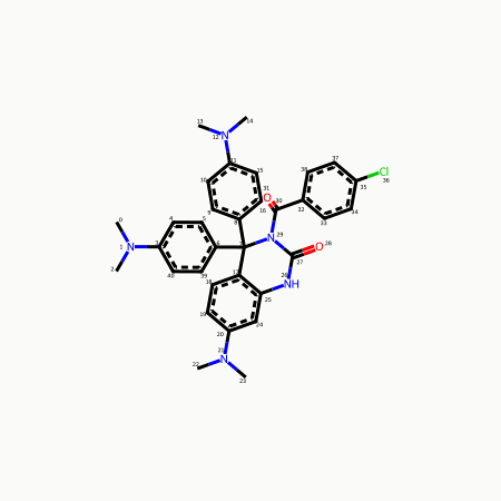 CN(C)c1ccc(C2(c3ccc(N(C)C)cc3)c3ccc(N(C)C)cc3NC(=O)N2C(=O)c2ccc(Cl)cc2)cc1